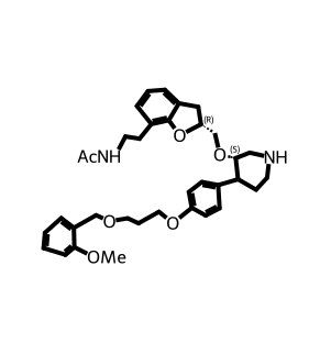 COc1ccccc1COCCCOc1ccc(C2CCNC[C@H]2OC[C@H]2Cc3cccc(CCNC(C)=O)c3O2)cc1